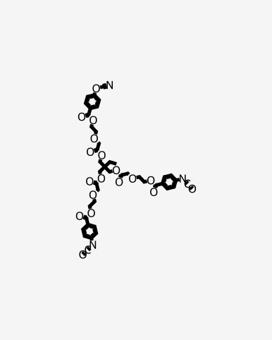 CCC(COC(=O)COCCOC(=O)c1ccc(N=C=O)cc1)(COC(=O)COCCOC(=O)c1ccc(N=C=O)cc1)COC(=O)COCCOC(=O)c1ccc(OC#N)cc1